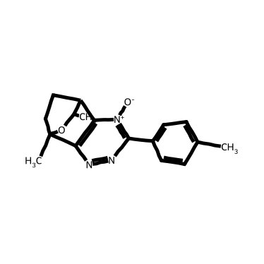 Cc1ccc(-c2nnc3c([n+]2[O-])C2CCC3(C)OC2C)cc1